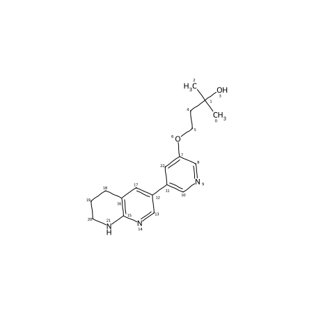 CC(C)(O)CCOc1cncc(-c2cnc3c(c2)CCCN3)c1